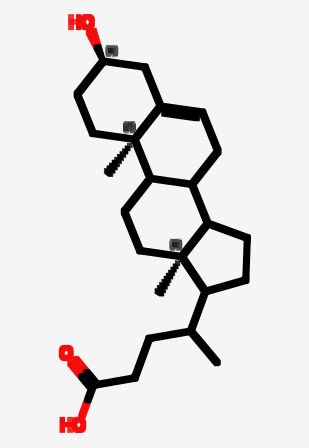 CC(CCC(=O)O)C1CCC2C3CC=C4C[C@H](O)CC[C@]4(C)C3CC[C@]12C